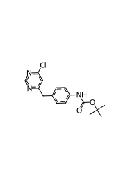 CC(C)(C)OC(=O)Nc1ccc(Cc2cc(Cl)ncn2)cc1